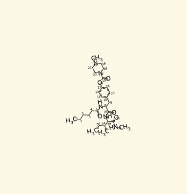 CCCCCC(=O)NC(Cc1ccc(OC(=O)N2CCN(C)CC2)cc1)C(=O)NC(C(=O)NC)C(C)CC